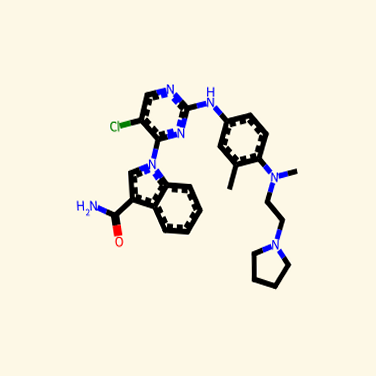 Cc1cc(Nc2ncc(Cl)c(-n3cc(C(N)=O)c4ccccc43)n2)ccc1N(C)CCN1CCCC1